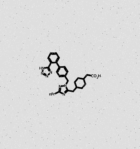 CCCc1nc(CC2CCC(CC(=O)O)CC2)n(Cc2ccc(-c3ccccc3-c3nnn[nH]3)cc2)n1